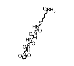 BC(=O)CCCCCSCNC(=O)CNC(=O)CNC(=O)CNC(=O)CCN1C(=O)C=CC1=O